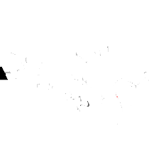 CC(C)(C)C(=O)ON1CCC(N(CC(=O)NC2CCC2)C2(Cc3cccc(Cl)c3)C(=O)Nc3cc(Cl)ccc32)CC1